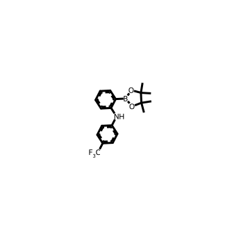 CC1(C)OB(c2ccccc2Nc2ccc(C(F)(F)F)cc2)OC1(C)C